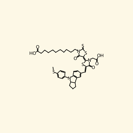 CSc1ccc(N2c3ccc(/C=c4\s/c(=C5/SC(=S)N(CCCCCCCCCCC(=O)O)C5=O)n(CC(=O)O)c4=O)cc3C3CCCC32)cc1